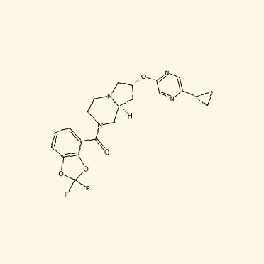 O=C(c1cccc2c1OC(F)(F)O2)N1CCN2C[C@H](Oc3cnc(C4CC4)cn3)C[C@H]2C1